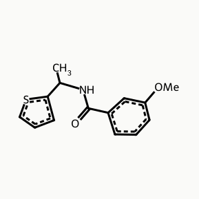 COc1cccc(C(=O)NC(C)c2cccs2)c1